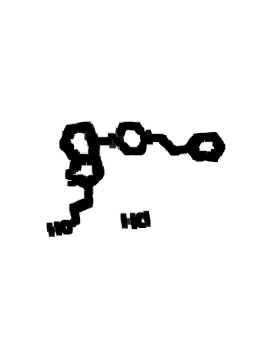 Cl.OCC=Cc1cc2c(N3CCN(CCc4ccccc4)CC3)cccc2s1